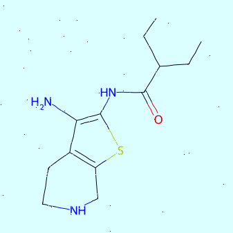 CCC(CC)C(=O)Nc1sc2c(c1N)CCNC2